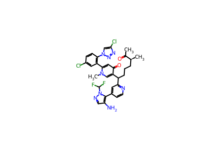 CC(=O)[C@@H](C)CCCC(c1cc(-c2c(N)cnn2C(F)F)ccn1)c1cn(C)c(-c2cc(Cl)ccc2-n2cc(Cl)nn2)cc1=O